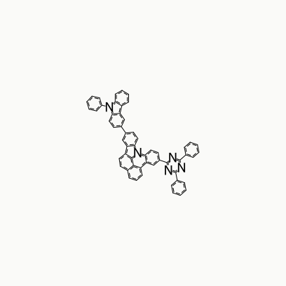 c1ccc(-c2nc(-c3ccccc3)nc(-c3ccc4c(c3)c3cccc5ccc6c7cc(-c8ccc9c(c8)c8ccccc8n9-c8ccccc8)ccc7n4c6c53)n2)cc1